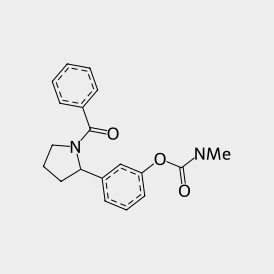 CNC(=O)Oc1cccc(C2CCCN2C(=O)c2ccccc2)c1